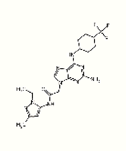 CCn1nc(C)cc1NC(=O)Cn1cnc2c(NC3CCC(C(F)(F)F)CC3)nc(N)nc21